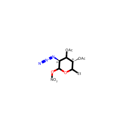 CCC1OC(O[N+](=O)[O-])[C@@H](N=[N+]=[N-])C(OC(C)=O)[C@@H]1OC(C)=O